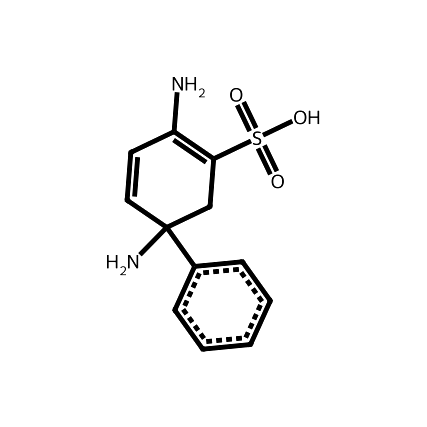 NC1=C(S(=O)(=O)O)CC(N)(c2ccccc2)C=C1